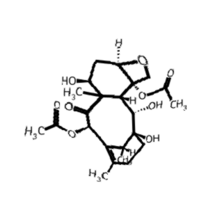 CC(=O)O[C@H]1C(=O)C2(C)[C@@H]([C@H](O)[C@]3(O)CCC(C)=C1[C@H]3C)[C@]1(OC(C)=O)CO[C@@H]1C[C@@H]2O